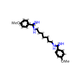 COc1ccc(C(=N)NCCCCCCCNC(=N)c2ccc(OC)cc2)cc1